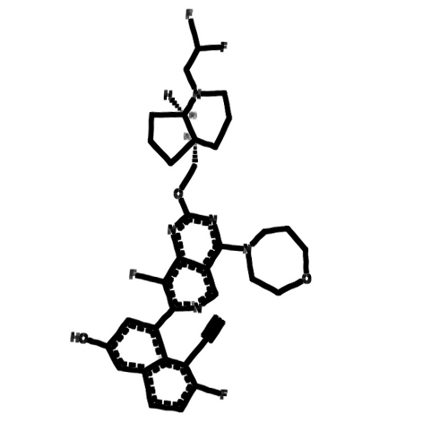 C#Cc1c(F)ccc2cc(O)cc(-c3ncc4c(N5CCCOCC5)nc(OC[C@]56CCC[C@H]5N(CC(F)F)CCC6)nc4c3F)c12